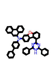 C1=CCC(C2N=C(c3cccc4oc5cc(N(c6ccc(-c7ccccc7)cc6)c6cc7ccccc7c7ccccc67)ccc5c34)N=C(c3ccccc3)N2)C=C1